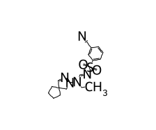 CCN(C=NS(=O)(=O)c1cccc(C#N)c1)N1CC2(C=N1)CCCC2